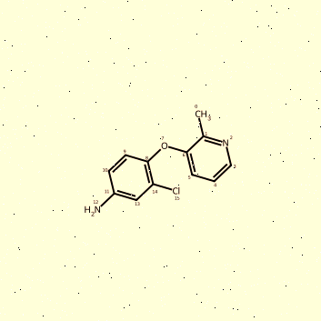 Cc1ncccc1Oc1ccc(N)cc1Cl